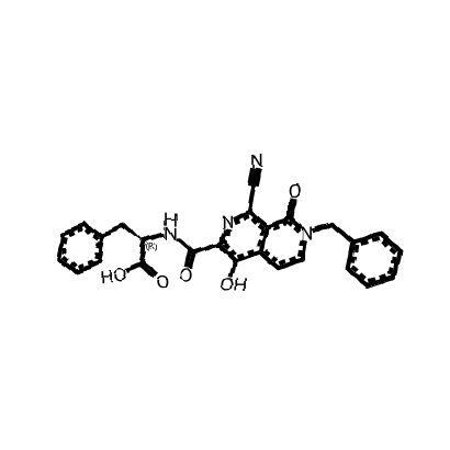 N#Cc1nc(C(=O)N[C@H](Cc2ccccc2)C(=O)O)c(O)c2ccn(Cc3ccccc3)c(=O)c12